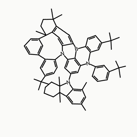 Cc1cc(C)c2c(c1)C1(C)CCCCC1(C)N2c1cc2c3c(c1)N1c4cc5c(cc4B3c3ccc(C(C)(C)C)cc3N2c2cccc(C(C)(C)C)c2)C(C)(C)CCC5(C)c2cccc(c2)-c2cc(C(C)(C)C)ccc21